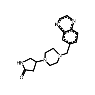 O=C1CC(N2CCN(Cc3ccc4nccnc4c3)CC2)CN1